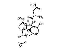 COC12CC[C@@]3(C[C@@H]1CNC(=O)[C@@H](N)CC(N)=O)[C@H]1Cc4ccc(O)c5c4[C@@]3(CCN1CC1CC1)C2O5